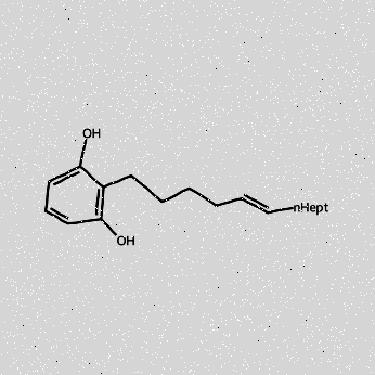 CCCCCCCC=CCCCCc1c(O)cccc1O